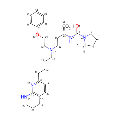 CC1(C)CCCN1C(=O)N[C@@H](CCN(CCCCc1ccc2c(n1)NCCC2)CCOc1ccccc1)C(=O)O